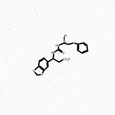 CC(C)[C@@H](CSc1ccccc1)NC(=O)NC(CC(=O)O)c1ccc2c(c1)OCO2